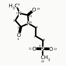 CN1CC(=O)N(CCCS(C)(=O)=O)C1=O